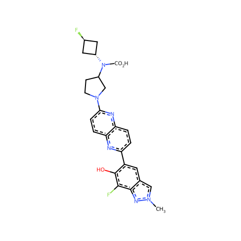 Cn1cc2cc(-c3ccc4nc(N5CCC(N(C(=O)O)[C@H]6C[C@H](F)C6)C5)ccc4n3)c(O)c(F)c2n1